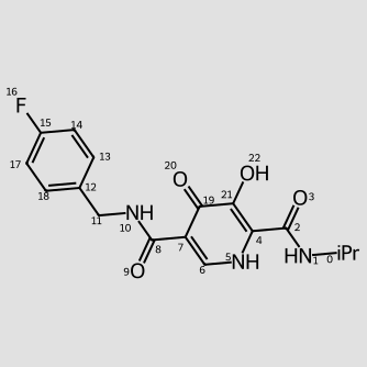 CC(C)NC(=O)c1[nH]cc(C(=O)NCc2ccc(F)cc2)c(=O)c1O